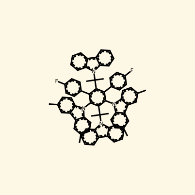 Cc1ccc2c(c1)c1cc(C)ccc1n2-c1c(-c2ccc(F)cc2)c(C(C)(C)n2c3ccccc3c3ccccc32)c(-c2ccc(F)cc2)c(-n2c3ccc(C)cc3c3cc(C)ccc32)c1C(C)(C)n1c2ccccc2c2ccccc21